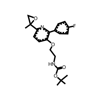 CC(C)(C)OC(=O)NCCOc1ccc(C2(C)CO2)nc1-c1ccc(F)cc1